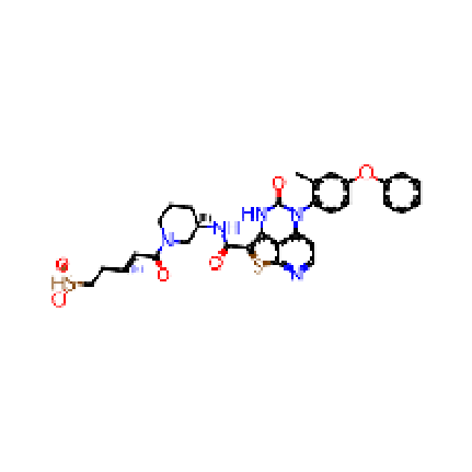 Cc1cc(Oc2ccccc2)ccc1N1C(=O)Nc2c(C(=O)N[C@@H]3CCCN(C(=O)/C=C/CC[SH](=O)=O)C3)sc3nccc1c23